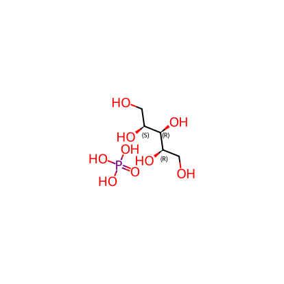 O=P(O)(O)O.OC[C@@H](O)[C@H](O)[C@@H](O)CO